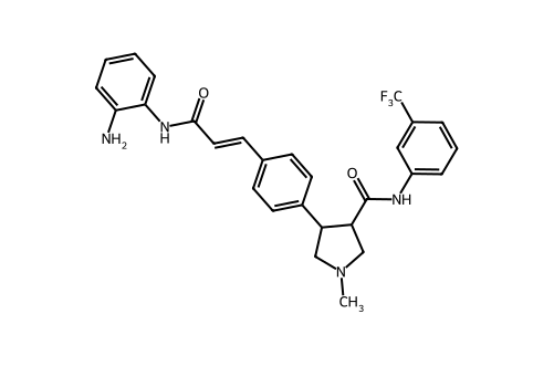 CN1CC(C(=O)Nc2cccc(C(F)(F)F)c2)C(c2ccc(/C=C/C(=O)Nc3ccccc3N)cc2)C1